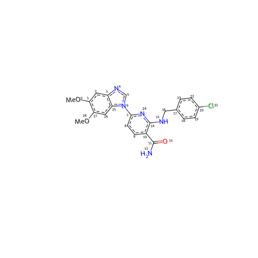 COc1cc2ncn(-c3ccc(C(N)=O)c(NCc4ccc(Cl)cc4)n3)c2cc1OC